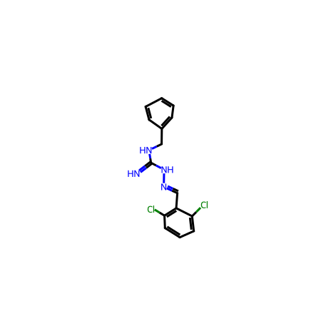 N=C(NCc1ccccc1)NN=Cc1c(Cl)cccc1Cl